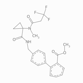 COC(=O)c1ccccc1-c1ccc(CNC(=O)C2(N(C)C(=O)CC(F)(F)F)CC2)cc1